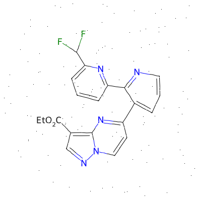 CCOC(=O)c1cnn2ccc(-c3cccnc3-c3cccc(C(F)F)n3)nc12